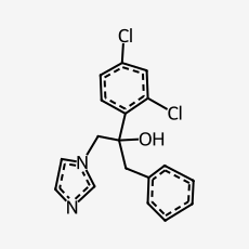 OC(Cc1ccccc1)(Cn1ccnc1)c1ccc(Cl)cc1Cl